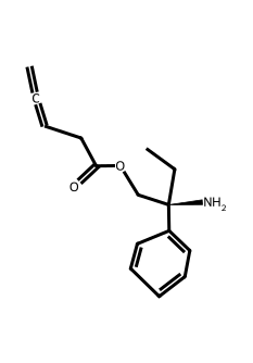 C=C=CCC(=O)OC[C@](N)(CC)c1ccccc1